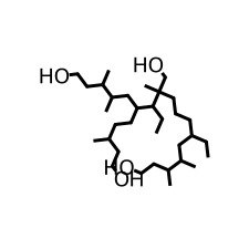 CCC(CCCC(C)(CO)C(CC)C(CCC(C)CCO)CC(C)C(C)CCO)CC(C)C(C)CCO